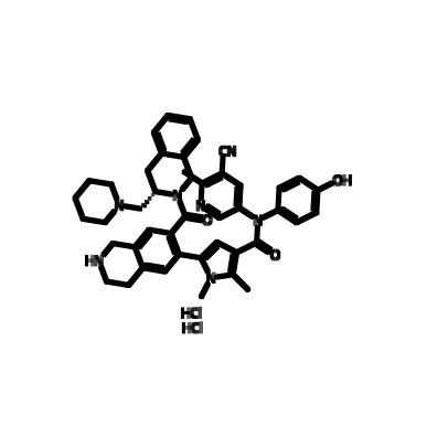 Cc1ncc(N(C(=O)c2cc(-c3cc4c(cc3C(=O)N3Cc5ccccc5C[C@H]3CN3CCCCC3)CNCC4)n(C)c2C)c2ccc(O)cc2)cc1C#N.Cl.Cl